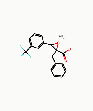 O=C(O)C1(Cc2ccccc2)OC1c1cccc(C(F)(F)F)c1.[CaH2]